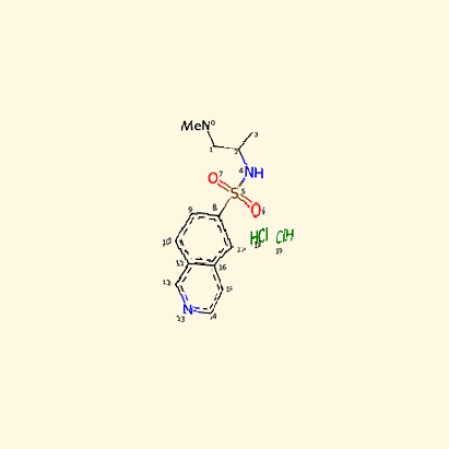 CNCC(C)NS(=O)(=O)c1ccc2cnccc2c1.Cl.Cl